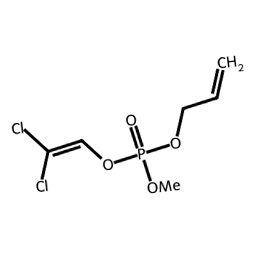 C=CCOP(=O)(OC)OC=C(Cl)Cl